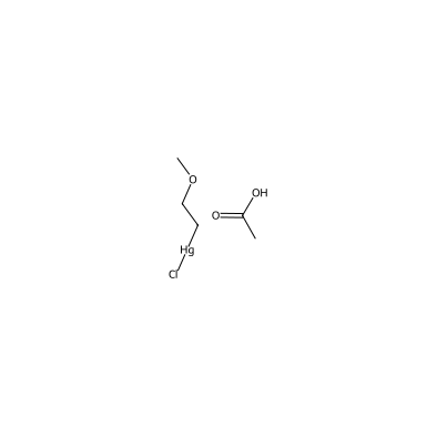 CC(=O)O.COC[CH2][Hg][Cl]